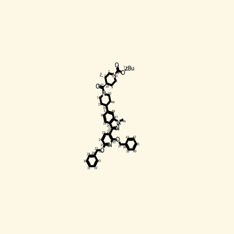 C[C@@H]1CN(C(=O)OC(C)(C)C)CC[C@H]1C(=O)N1CCC(c2ccc3c(-c4ccc(OCc5ccccc5)nc4OCc4ccccc4)nn(C)c3c2)CC1